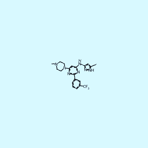 Cc1cc(Nc2cc(N3CCN(C)CC3)nc(-c3cccc(C(F)(F)F)c3)n2)n[nH]1